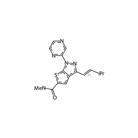 CNC(=O)c1cc2c(/C=C/C(C)C)nn(-c3cnccn3)c2s1